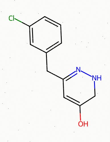 OC1=CC(Cc2cccc(Cl)c2)=NNC1